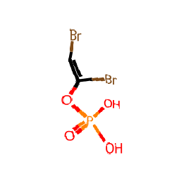 O=P(O)(O)OC(Br)=CBr